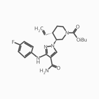 C=C[C@@H]1CCN(C(=O)OCC(C)C)C[C@H]1n1cc(C(N)=O)c(Nc2ccc(F)cc2)n1